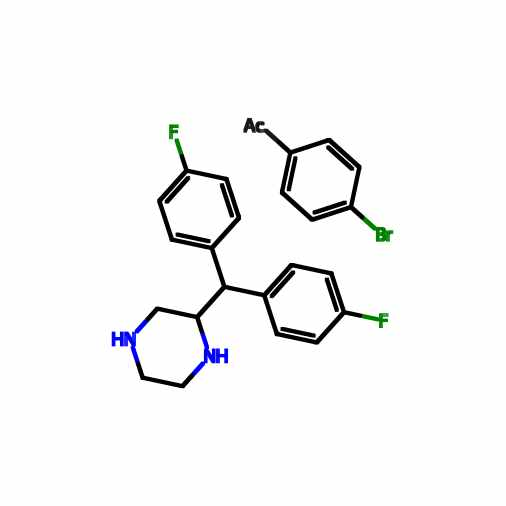 CC(=O)c1ccc(Br)cc1.Fc1ccc(C(c2ccc(F)cc2)C2CNCCN2)cc1